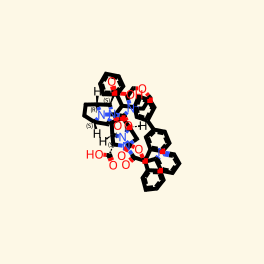 O=C(O)[C@@H]1[C@H]2CC[C@@H](CN1C(=O)C(c1ccccc1)c1cccc(-c3cccc(C(C(=O)N4[C@H]5CC[C@@H]4[C@@H](C(=O)O)N(C(=O)N4CCOCC4)C5)c4ccccc4)c3)c1)N2C(=O)OCc1ccccn1